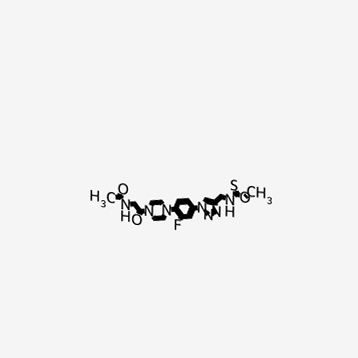 COC(=S)NCc1cn(-c2ccc(N3CCN(C(=O)CNC(C)=O)CC3)c(F)c2)nn1